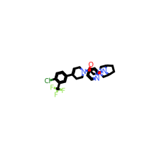 O=C(CN1CC2CCC(C1)N2c1ccccn1)N1CC=C(c2ccc(Cl)c(C(F)(F)F)c2)CC1